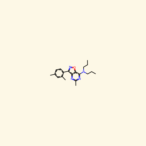 CCCN(CCC)c1nc(C)nc2c(-c3ccc(C)cc3C)noc12